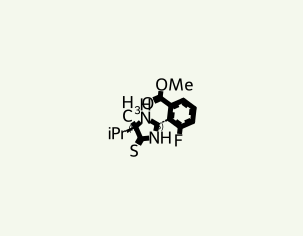 COC(=O)c1cccc(F)c1[C@@H]1NC(=S)[C@@](C)(C(C)C)N1